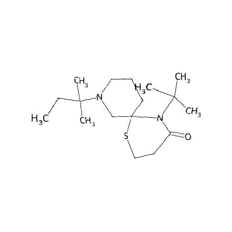 CCC(C)(C)N1CCCC2(C1)SCCC(=O)N2C(C)(C)C